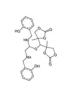 CC1(C(OC(CNCc2ccccc2O)NCc2ccccc2O)C2(C)COC(=O)O2)COC(=O)O1